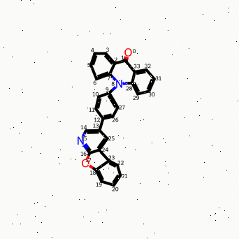 O=c1c2ccccc2n(-c2ccc(-c3cnc4oc5ccccc5c4c3)cc2)c2ccccc12